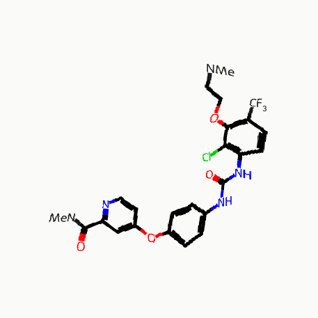 CNCCOc1c(C(F)(F)F)ccc(NC(=O)Nc2ccc(Oc3ccnc(C(=O)NC)c3)cc2)c1Cl